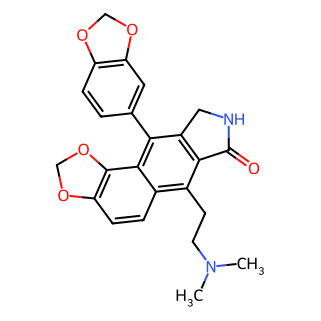 CN(C)CCc1c2c(c(-c3ccc4c(c3)OCO4)c3c4c(ccc13)OCO4)CNC2=O